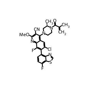 C=C(C)C(=O)N1CCN(c2c(C#N)c(OC)nc3c(F)c(-c4ccc(F)c5scnc45)c(Cl)cc23)C[C@H]1C